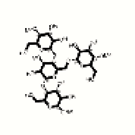 CO[C@H]1OC(CO)[C@@H](O[C@H]2OC(CO[C@H]3OC(CO)[C@@H](OC)[C@H](O)C3O)[C@@H](C[C@H]3OC(CO)[C@@H](OC)[C@H](O)C3O)[C@H](O)C2O)[C@H](O)C1O